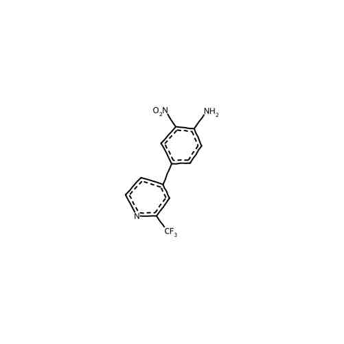 Nc1ccc(-c2ccnc(C(F)(F)F)c2)cc1[N+](=O)[O-]